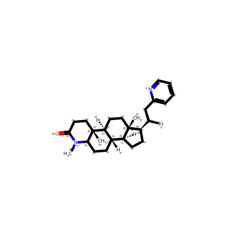 CCC(Cc1ccccn1)[C@H]1CC[C@H]2[C@@H]3CCC4N(C)C(=O)CC[C@]4(C)[C@H]3CC[C@]12C